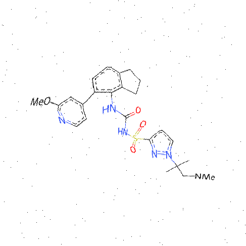 CNCC(C)(C)n1ccc(S(=O)(=O)NC(=O)Nc2c(-c3ccnc(OC)c3)ccc3c2CCC3)n1